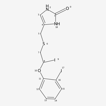 O=c1[nH]cc(CSCC(I)Oc2ccccc2I)[nH]1